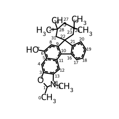 CC1Oc2cc3c(O)cc4c(c3cc2N1C)-c1ccccc1C41CC(C)(C)CC(C)(C)C1